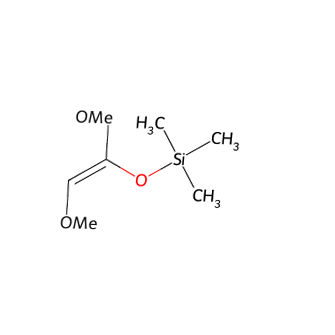 COC=C(OC)O[Si](C)(C)C